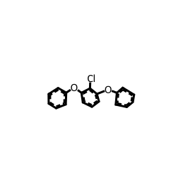 Clc1c(Oc2ccccc2)cccc1Oc1ccccc1